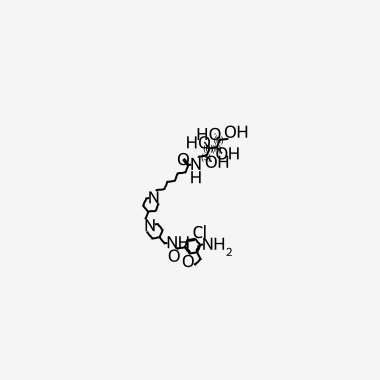 Nc1c(Cl)cc(C(=O)NCC2CCN(CC3CCN(CCCCCCC(=O)NC[C@H](O)[C@@H](O)[C@H](O)[C@H](O)CO)CC3)CC2)c2c1CCO2